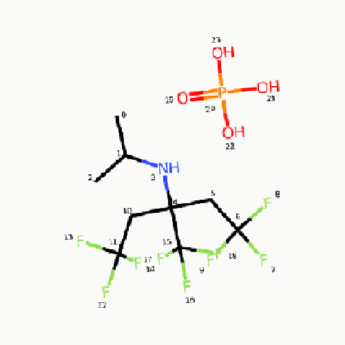 CC(C)NC(CC(F)(F)F)(CC(F)(F)F)C(F)(F)F.O=P(O)(O)O